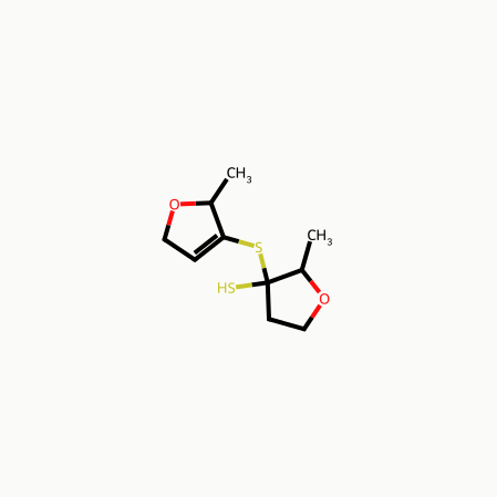 CC1OCC=C1SC1(S)CCOC1C